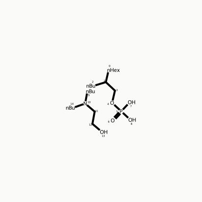 CCCCCCC(CCCC)COP(=O)(O)O.CCCCN(CCO)CCCC